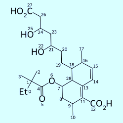 CCC(C)(C)C(=O)OC1CC(C)C(C(=O)O)=C2C=CC(C)C(CCC(O)CC(O)CC(=O)O)C21